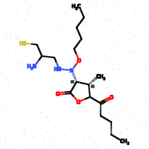 CCCCCON(NCC(N)CS)[C@H]1C(=O)OC(C(=O)CCCC)[C@H]1C